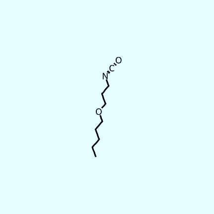 CCCCCOCCCN=C=O